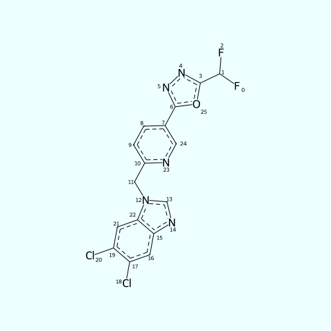 FC(F)c1nnc(-c2ccc(Cn3cnc4cc(Cl)c(Cl)cc43)nc2)o1